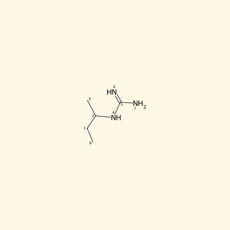 CCC(C)NC(=N)N